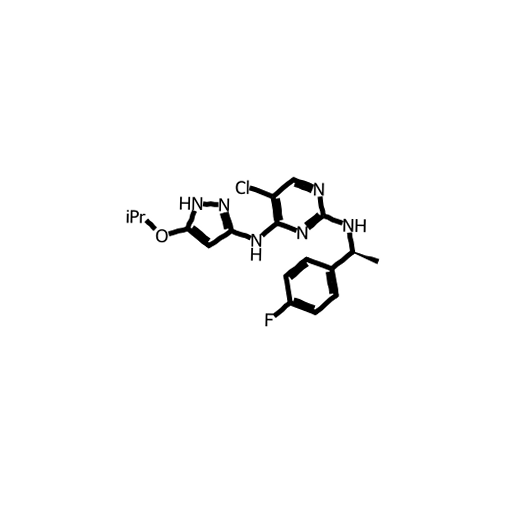 CC(C)Oc1cc(Nc2nc(N[C@@H](C)c3ccc(F)cc3)ncc2Cl)n[nH]1